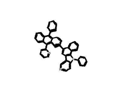 c1ccc(-c2c3ccccc3c(-c3ccccn3)c3cc(-c4cc5c6cnccc6n(-c6ccccc6)c5c5ccccc45)ccc23)cc1